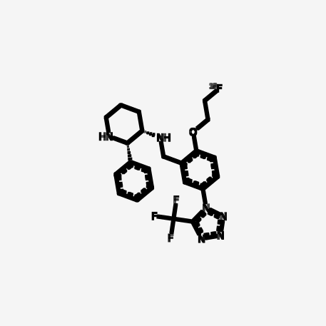 FC(F)(F)c1nnnn1-c1ccc(OCC[18F])c(CN[C@H]2CCCN[C@H]2c2ccccc2)c1